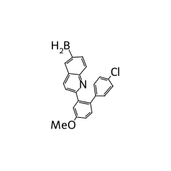 Bc1ccc2nc(-c3cc(OC)ccc3-c3ccc(Cl)cc3)ccc2c1